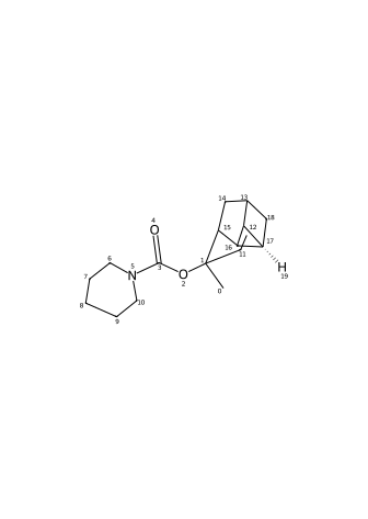 CC1(OC(=O)N2CCCCC2)C=C2C3CC1C[C@@H]2C3